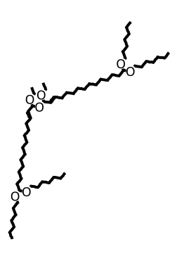 CCCCCCCOC(CCCCCCCCCCCC=CC(OCC)OC(C=CCCCCCCCCCCCC(OCCCCCCC)OCCCCCCC)OCC)OCCCCCCC